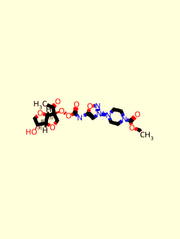 CCOC(=O)N1CCN([n+]2cc([N-]C(=O)OO[C@@]3(C(C)=O)CO[C@@H]4[C@H](O)CO[C@@H]43)on2)CC1